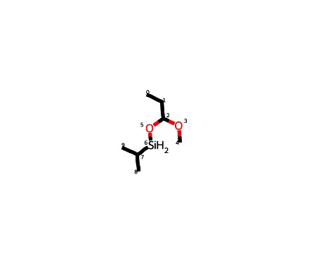 CCC(OC)O[SiH2]C(C)C